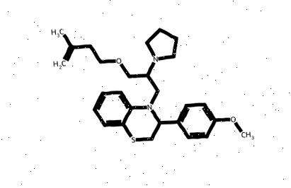 C=C(C)CCOCC(CN1c2ccccc2SCC1c1ccc(OC)cc1)N1CCCC1